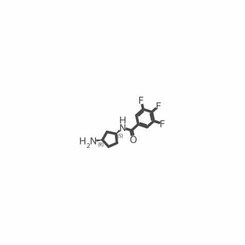 N[C@@H]1CC[C@H](NC(=O)c2cc(F)c(F)c(F)c2)C1